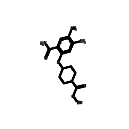 Cc1cc(OC2CCN(C(=O)OC(C)(C)C)CC2)c(C(N)=O)cc1N